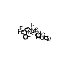 Cc1ccccc1-c1nc(NS(=O)(=O)c2cccc(O[C@@H]3COC[C@@]3(C)O)n2)ccc1C(F)(F)F